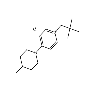 CC1CCN(c2cc[n+](CC(C)(C)C)cc2)CC1.[Cl-]